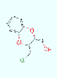 OCC1Oc2ccccc2OC1CCl